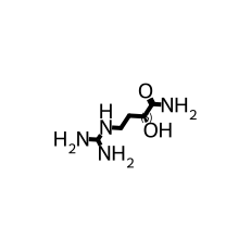 NC(=O)[C@@H](O)CCNC(N)N